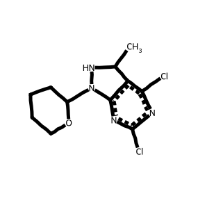 CC1NN(C2CCCCO2)c2nc(Cl)nc(Cl)c21